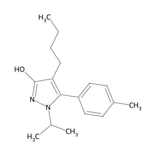 CCCCc1c(O)nn(C(C)C)c1-c1ccc(C)cc1